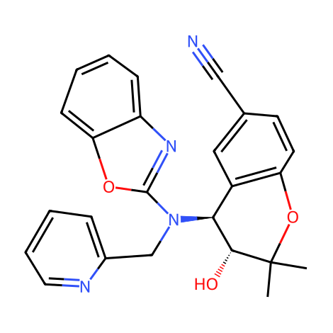 CC1(C)Oc2ccc(C#N)cc2[C@H](N(Cc2ccccn2)c2nc3ccccc3o2)[C@H]1O